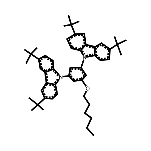 CCCCCCOc1cc(-n2c3ccc(C(C)(C)C)cc3c3cc(C(C)(C)C)ccc32)cc(-n2c3ccc(C(C)(C)C)cc3c3cc(C(C)(C)C)ccc32)c1